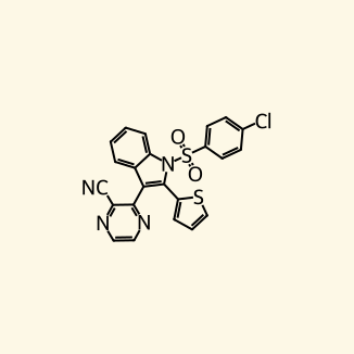 N#Cc1nccnc1-c1c(-c2cccs2)n(S(=O)(=O)c2ccc(Cl)cc2)c2ccccc12